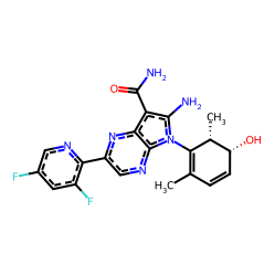 CC1=C(n2c(N)c(C(N)=O)c3nc(-c4ncc(F)cc4F)cnc32)[C@H](C)[C@H](O)C=C1